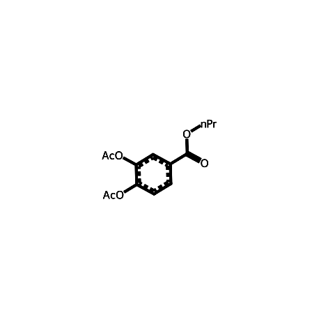 CCCOC(=O)c1ccc(OC(C)=O)c(OC(C)=O)c1